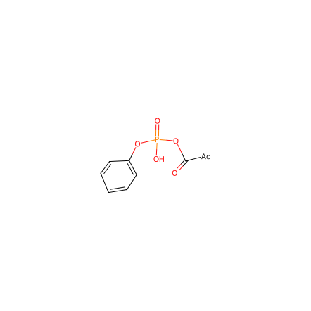 CC(=O)C(=O)OP(=O)(O)Oc1ccccc1